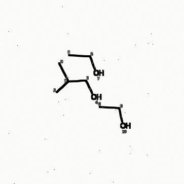 CC(C)CO.CCO.CCO